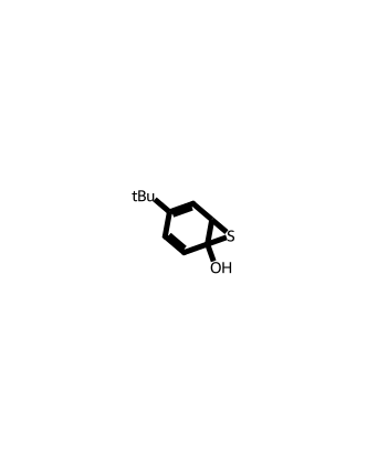 CC(C)(C)C1=CC2SC2(O)C=C1